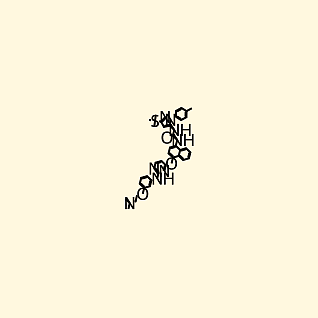 Cc1ccc(-n2nc(S(C)(C)C)cc2NC(=O)Nc2ccc(Oc3ccnc(Nc4cccc(OCCN(C)C)c4)n3)c3ccccc23)cc1